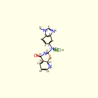 CCN(c1ccc2c(c1)ncn2C)c1nc(=O)c2cccnc2s1.Cl